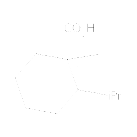 CC(C)C1CCCC[C@]1(C)C(=O)O